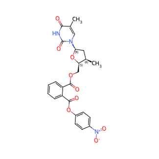 Cc1cn([C@H]2C[C@@H](C)[C@@H](COC(=O)c3ccccc3C(=O)Oc3ccc([N+](=O)[O-])cc3)O2)c(=O)[nH]c1=O